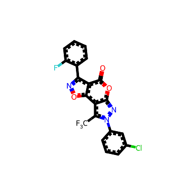 O=c1oc2nn(-c3cccc(Cl)c3)c(C(F)(F)F)c2c2onc(-c3ccccc3F)c12